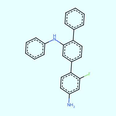 Nc1ccc(-c2ccc(-c3ccccc3)c(Nc3ccccc3)c2)c(F)c1